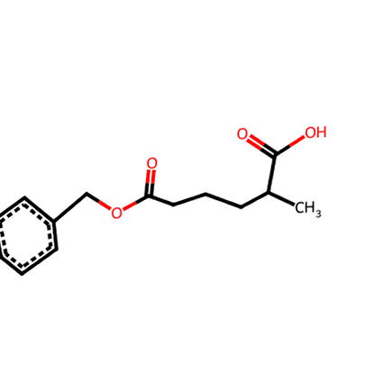 CC(CCCC(=O)OCc1ccccc1)C(=O)O